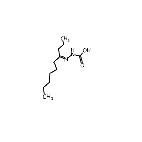 CCCCCCC(CCC)=NNC(=O)O